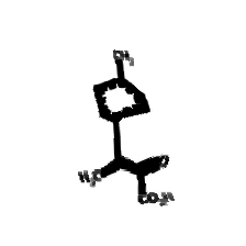 Cc1ccc(C(C)C(=O)C(=O)O)cc1